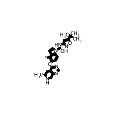 C[C@@H]1Cc2c(ncnc2Oc2ccc3c(ccn3C(O)Nc3cc(C(C)(C)C)on3)c2F)CN1